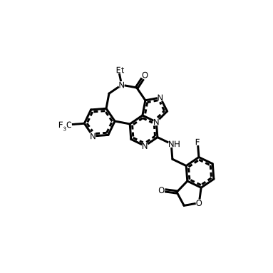 CCN1Cc2cc(C(F)(F)F)ncc2-c2cnc(NCc3c(F)ccc4c3C(=O)CO4)n3cnc(c23)C1=O